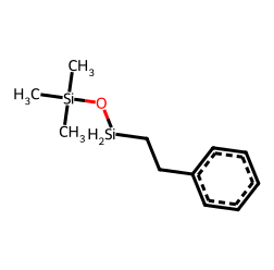 C[Si](C)(C)O[SiH2]CCc1ccccc1